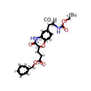 CC(C)(C)COC(=O)NC(Cc1ccc2c(c1)NC(=O)C(CCC(=O)OCc1ccccc1)O2)C(=O)O